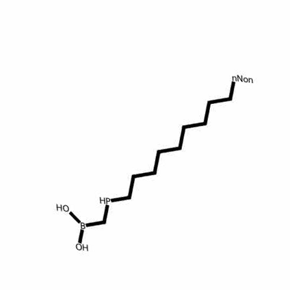 CCCCCCCCCCCCCCCCCCPCB(O)O